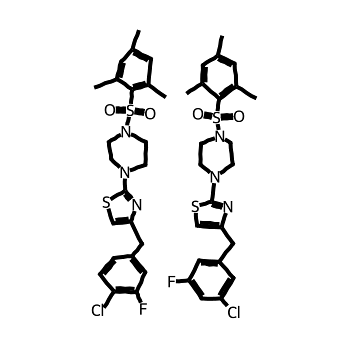 Cc1cc(C)c(S(=O)(=O)N2CCN(c3nc(Cc4cc(F)cc(Cl)c4)cs3)CC2)c(C)c1.Cc1cc(C)c(S(=O)(=O)N2CCN(c3nc(Cc4ccc(Cl)c(F)c4)cs3)CC2)c(C)c1